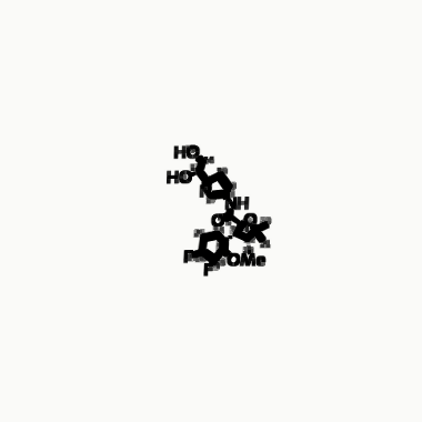 COc1c([C@@H]2[C@@H](C(=O)Nc3ccc([C@H](O)CO)nc3)OC(C)(C)[C@@H]2C)ccc(F)c1F